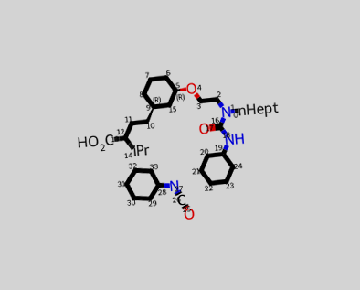 CCCCCCCN(CCO[C@@H]1CCC[C@H](CCC(C(=O)O)C(C)C)C1)C(=O)NC1CCCCC1.O=C=NC1CCCCC1